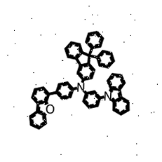 c1ccc(C2(c3ccccc3)c3ccccc3-c3cc(N(c4ccc(-c5cccc6c5oc5ccccc56)cc4)c4cccc(-n5c6ccccc6c6ccccc65)c4)ccc32)cc1